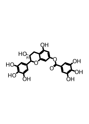 O=C(Oc1cc(O)c2c(c1)OC(c1cc(O)c(O)c(O)c1)[C@H](O)C2)c1cc(O)c(O)c(O)c1